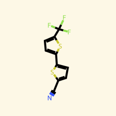 N#Cc1ccc(-c2ccc(C(F)(F)F)s2)s1